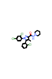 Cc1c(C(=O)NN2CCCCC2)nn(-c2ccc(Cl)cc2Cl)c1-c1ccccc1Cl